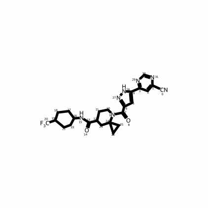 N#Cc1cc(-c2cc(C(=O)N3CCC(C(=O)NC4CCC(C(F)(F)F)CC4)CC34CC4)n[nH]2)ncn1